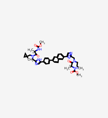 CCCN(Cc1ncc(-c2ccc3cc(-c4ccc(-c5cnc(CN(CC6(C)CC6)C(=O)[C@H](C)NC(=O)OC)[nH]5)cc4)ccc3c2)[nH]1)C(=O)[C@H](C)NC(=O)OC